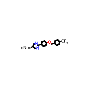 CCCCCCCCCc1cnc(-c2ccc(OCc3ccc(C(F)(F)F)cc3)cc2)nc1